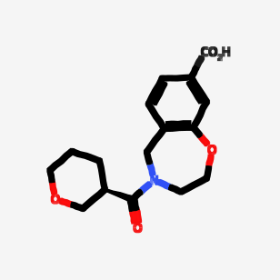 O=C(O)c1ccc2c(c1)OCCN(C(=O)[C@@H]1CCCOC1)C2